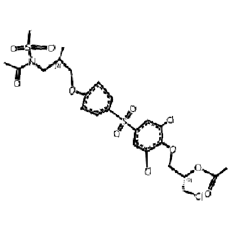 CC(=O)O[C@H](CCl)COc1c(Cl)cc(S(=O)(=O)c2ccc(OC[C@H](C)CN(C(C)=O)S(C)(=O)=O)cc2)cc1Cl